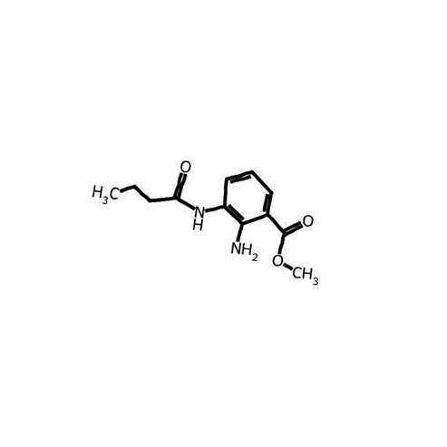 CCCC(=O)Nc1cccc(C(=O)OC)c1N